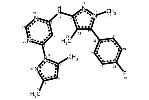 Cc1cc(C)n(-c2cc(Nc3nn(C)c(-c4ccc(F)cc4)c3C)ncn2)n1